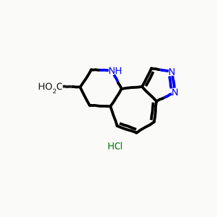 Cl.O=C(O)C1CNC2C3=CN=NC3=CC=CC2C1